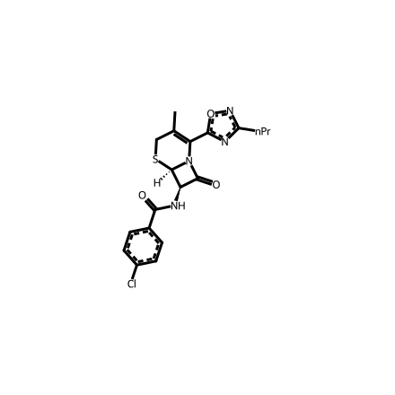 CCCc1noc(C2=C(C)CS[C@@H]3[C@H](NC(=O)c4ccc(Cl)cc4)C(=O)N23)n1